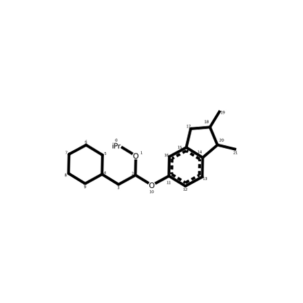 CC(C)OC(CC1CCCCC1)Oc1ccc2c(c1)CC(C)C2C